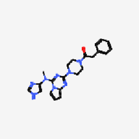 CN(c1c[nH]cn1)c1nc(N2CCN(C(=O)Cc3ccccc3)CC2)nc2cccn12